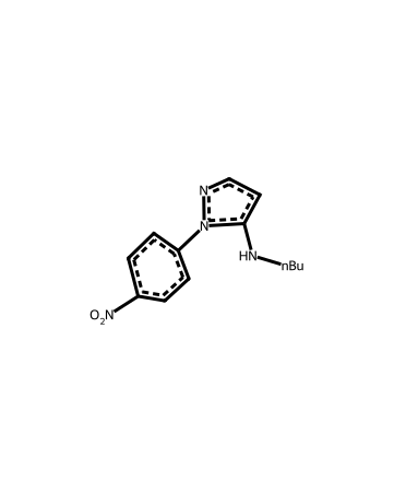 CCCCNc1ccnn1-c1ccc([N+](=O)[O-])cc1